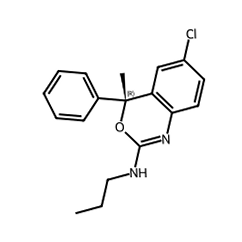 CCCNC1=Nc2ccc(Cl)cc2[C@@](C)(c2ccccc2)O1